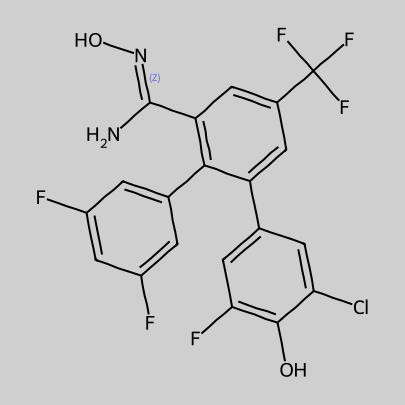 N/C(=N\O)c1cc(C(F)(F)F)cc(-c2cc(F)c(O)c(Cl)c2)c1-c1cc(F)cc(F)c1